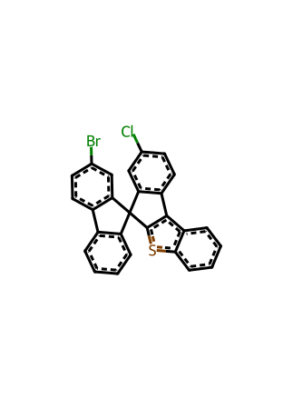 Clc1ccc2c(c1)C1(c3ccccc3-c3ccc(Br)cc31)c1sc3ccccc3c1-2